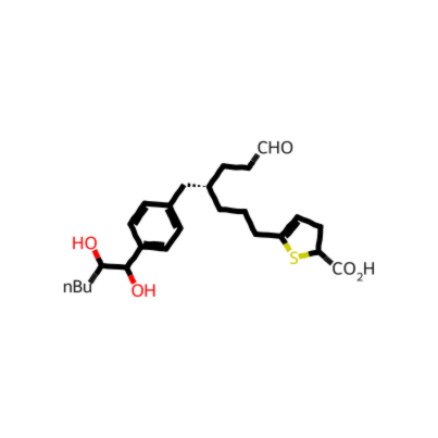 CCCCC(O)C(O)c1ccc(C[C@H](CCC=O)CCCC2=CCC(C(=O)O)S2)cc1